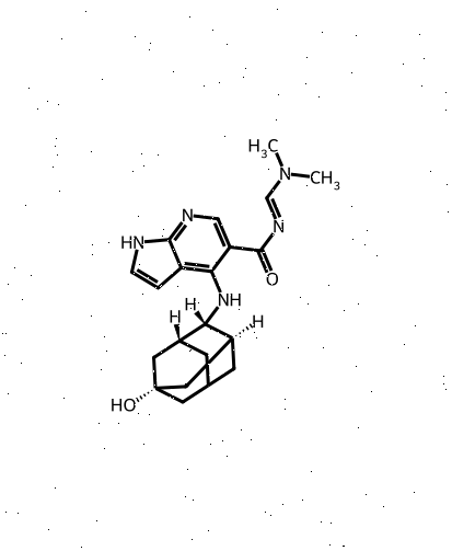 CN(C)/C=N/C(=O)c1cnc2[nH]ccc2c1N[C@H]1[C@@H]2CC3C[C@H]1C[C@@](O)(C3)C2